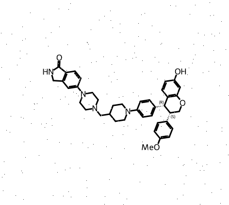 COc1ccc([C@H]2COc3cc(O)ccc3[C@H]2c2ccc(N3CCC(CN4CCN(c5ccc6c(c5)CNC6=O)CC4)CC3)cc2)cc1